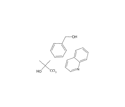 CC(C)(O)C(Cl)(Cl)Cl.OCc1ccccc1.c1ccc2ncccc2c1